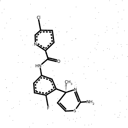 C[C@@]1(c2cc(NC(=O)c3ccc(Cl)cn3)ccc2F)C=CSC(N)=N1